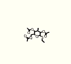 CCSC1OC(COC(C)=O)C(OC(C)=O)C(C)C1OC(C)=O